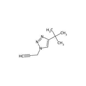 C#CCn1cc(C(C)(C)C)nn1